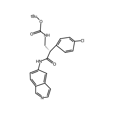 CC(C)(C)OC(=O)NC[C@@H](C(=O)Nc1ccc2cnccc2c1)c1ccc(Cl)cc1